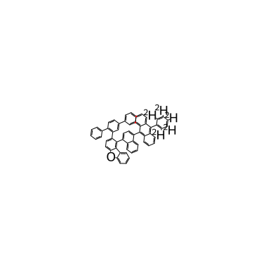 [2H]c1c([2H])c([2H])c(-c2c3ccccc3c(-c3ccc(-c4c(-c5cc(-c6ccccc6)ccc5-c5ccccc5)ccc5oc6ccccc6c45)c4ccccc34)c3ccccc23)c([2H])c1[2H]